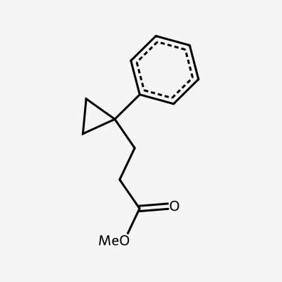 COC(=O)CCC1(c2ccccc2)CC1